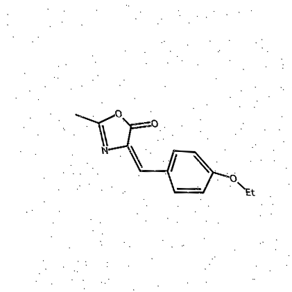 CCOc1ccc(C=C2N=C(C)OC2=O)cc1